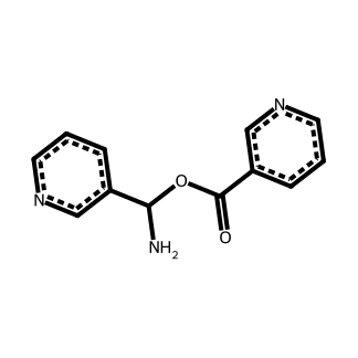 NC(OC(=O)c1cccnc1)c1cccnc1